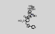 CCO/N=C(\C(=O)N[C@@H]1C(=O)N2C(C(=O)O)=C(Sc3nc(-c4ccncc4)cs3)CS[C@H]12)c1nsc(NP(=O)(O)O)n1